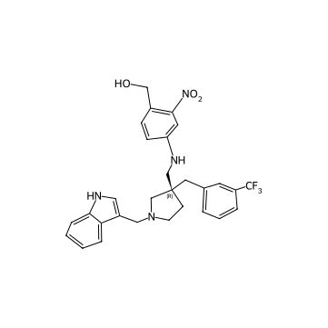 O=[N+]([O-])c1cc(NC[C@@]2(Cc3cccc(C(F)(F)F)c3)CCN(Cc3c[nH]c4ccccc34)C2)ccc1CO